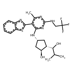 Cc1nc(NCC(F)(F)F)nc(N[C@@H]2C[C@H](C(O)C(C)C)[C@@H](O)C2)c1-c1nc2ccccc2s1